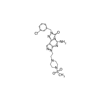 CS(=O)(=O)N1CCN(CCn2ncc3c2nc(N)n2c(=O)n(Cc4cccc(Cl)c4)nc32)CC1